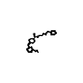 Cc1cccc(C=C2CCN(C(=O)OCCCOCc3ccccc3)CC2)n1